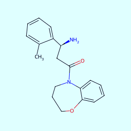 Cc1ccccc1[C@@H](N)CC(=O)N1CCCOc2ccccc21